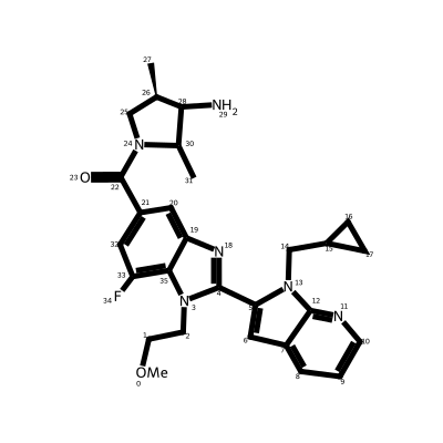 COCCn1c(-c2cc3cccnc3n2CC2CC2)nc2cc(C(=O)N3C[C@@H](C)C(N)C3C)cc(F)c21